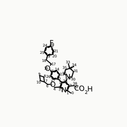 Cc1nc(COCC2CCC2)c(-c2ccc(OCCc3ccc(F)cc3)cc2)c(N2CCC(C)(C)CC2)c1CC(=O)O